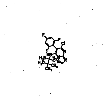 BC(C)(Nc1c(-c2c(F)cc(F)cc2F)c(Cl)nc2ncnn12)C(C)(C)C